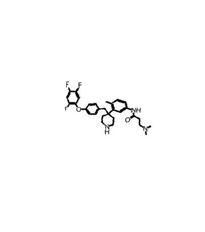 Cc1ccc(NC(=O)CCN(C)C)cc1C1(Cc2ccc(Oc3cc(F)c(F)cc3F)cc2)CCNCC1